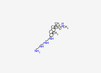 CNC(=O)CC[C@@H](C)[C@H]1CCC2C3CCC4C[C@@H](NCCCNCCCNCCCN)CC[C@]4(C)C3CC[C@@]21C